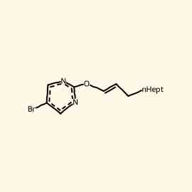 CCCCCCCCC=COc1ncc(Br)cn1